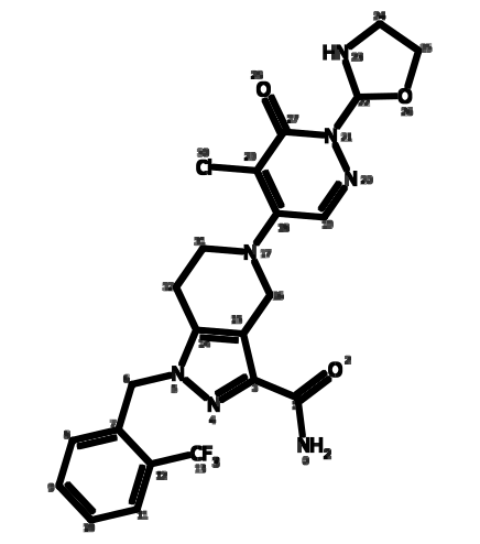 NC(=O)c1nn(Cc2ccccc2C(F)(F)F)c2c1CN(c1cnn(C3NCCO3)c(=O)c1Cl)CC2